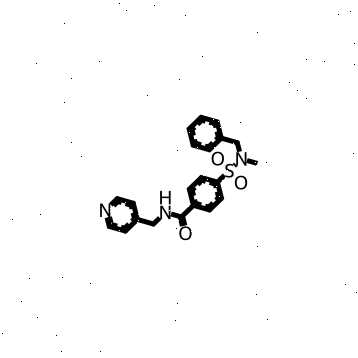 CN(Cc1ccccc1)S(=O)(=O)c1ccc(C(=O)NCc2ccncc2)cc1